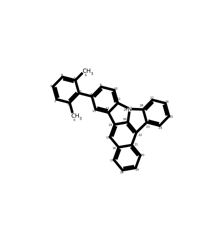 Cc1cccc(C)c1-c1ccc2c(c1)c1cc3ccccc3c3c4ccccc4n2c13